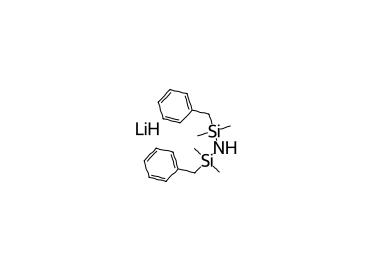 C[Si](C)(Cc1ccccc1)N[Si](C)(C)Cc1ccccc1.[LiH]